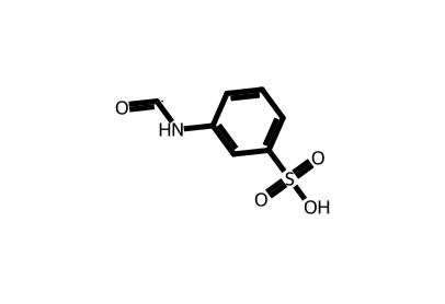 O=[C]Nc1cccc(S(=O)(=O)O)c1